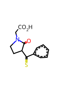 O=C(O)CN1CCC(C(=S)c2ccccc2)C1=O